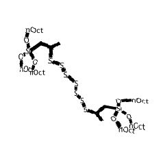 CCCCCCCCO[Si](CC(C)SSSSSSSC(C)C[Si](OCCCCCCCC)(OCCCCCCCC)OCCCCCCCC)(OCCCCCCCC)OCCCCCCCC